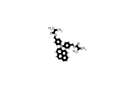 C=C(C)C(=O)OCc1ccc(N(C2=CCC3=CCc4cccc5ccc2c3c45)c2ccc(COC(=O)C(=C)C)cc2)cc1